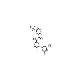 Cc1cc(-c2cc(NC(=O)c3ccnc(C(C)(C)F)c3)ccc2C)cc(Cl)n1